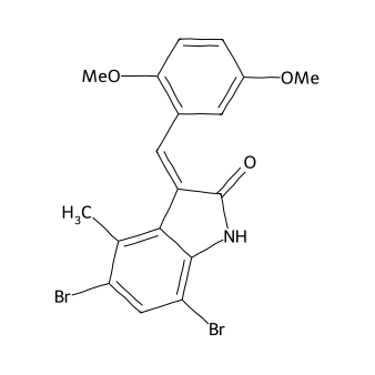 COc1ccc(OC)c(C=C2C(=O)Nc3c(Br)cc(Br)c(C)c32)c1